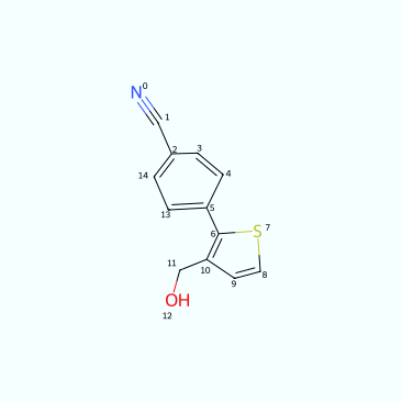 N#Cc1ccc(-c2sccc2CO)cc1